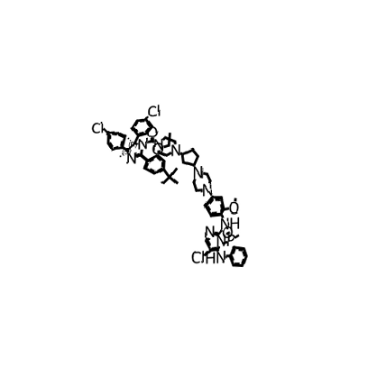 CCOc1cc(C(C)(C)C)ccc1C1=N[C@@](C)(c2ccc(Cl)cc2)[C@@](C)(c2ccc(Cl)cc2)N1C(=O)N1CCN(C2CCC(N3CCN(c4ccc(Nc5ncc(Cl)c(Nc6ccccc6P(C)(C)=O)n5)c(OC)c4)CC3)C2)CC1